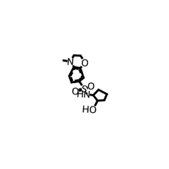 CN1CCOc2cc(S(=O)(=O)NC3CCCC3O)ccc21